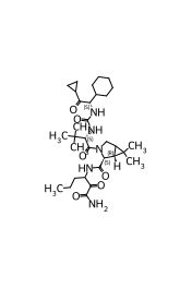 CCCC(NC(=O)[C@@H]1[C@@H]2C(CN1C(=O)[C@@H](NC(=O)N[C@H](C(=O)C1CC1)C1CCCCC1)C(C)(C)C)C2(C)C)C(=O)C(N)=O